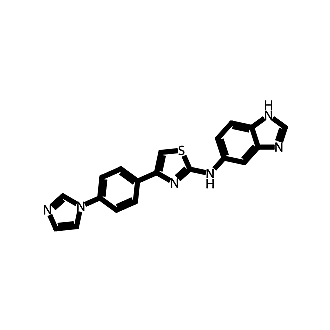 c1cn(-c2ccc(-c3csc(Nc4ccc5[nH]cnc5c4)n3)cc2)cn1